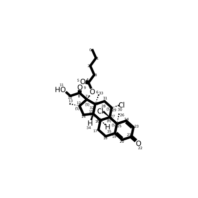 CCCCC(=O)O[C@@]1(C(=O)CO)[C@@H](C)C[C@H]2[C@@H]3CCC4=CC(=O)C=C[C@]4(C)[C@@]3(Cl)[C@@H](Cl)C[C@@]21C